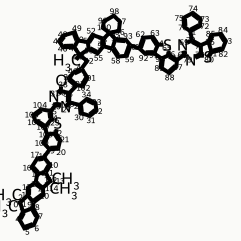 CC1(C)c2ccccc2-c2cc3c(cc21)-c1ccc(-c2ccc4sc5c(-c6nc(-c7ccccc7)c7c(n6)oc6cc(CC8(C)c9ccccc9-c9cc%10c(cc98)-c8ccc(-c9ccc%11sc%12c(-c%13nc(-c%14ccccc%14)c%14c(n%13)sc%13ccccc%13%14)cccc%12c%11c9)cc8C%108CCCCC8)ccc67)cccc5c4c2)cc1C3(C)C